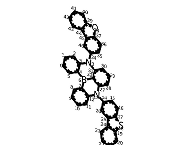 c1ccc2c(c1)B1c3ccccc3N(c3ccc4sc5ccccc5c4c3)c3cccc(c31)N2c1ccc2oc3ccccc3c2c1